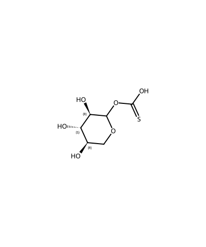 OC(=S)OC1OC[C@@H](O)[C@H](O)[C@H]1O